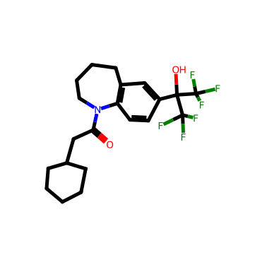 O=C(CC1CCCCC1)N1CCCCc2cc(C(O)(C(F)(F)F)C(F)(F)F)ccc21